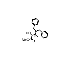 COC(=O)C(O)[C@H](C)N(Cc1ccccc1)Cc1ccccc1